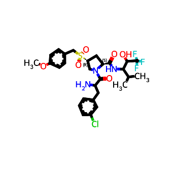 COc1ccc(CS(=O)(=O)[C@@H]2C[C@@H](C(=O)NC(C(C)C)C(O)C(F)(F)F)N(C(=O)C(N)Cc3cccc(Cl)c3)C2)cc1